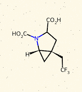 O=C(O)C1C[C@]2(CC(F)(F)F)C[C@@H]2N1C(=O)O